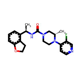 C[C@@H](NC(=O)N1CCN(c2ccncc2F)[C@@H](C)C1)c1cccc2c1CCO2